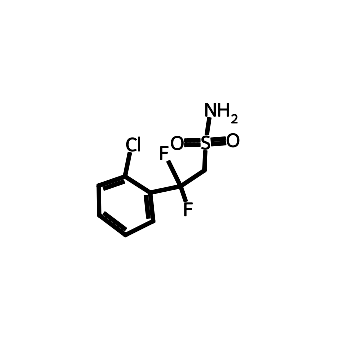 NS(=O)(=O)CC(F)(F)c1ccccc1Cl